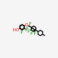 CC1CCC(C23CCC(C(F)(F)Oc4ccc(O)c(F)c4F)(CC2)C(F)C3(F)F)CC1